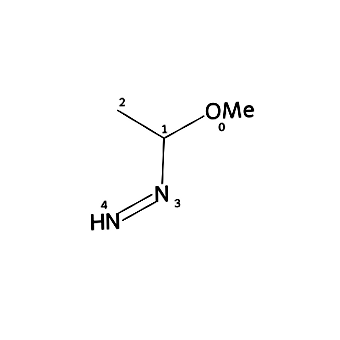 COC(C)N=N